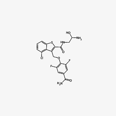 NC(=O)c1cc(F)c(OCc2c(C(=O)NCC(N)O)sc3cccc(Cl)c23)c(F)c1